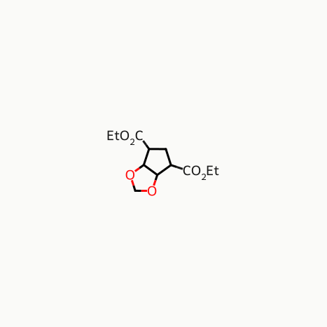 CCOC(=O)C1CC(C(=O)OCC)C2OCOC12